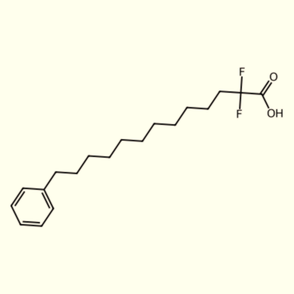 O=C(O)C(F)(F)CCCCCCCCCCCc1ccccc1